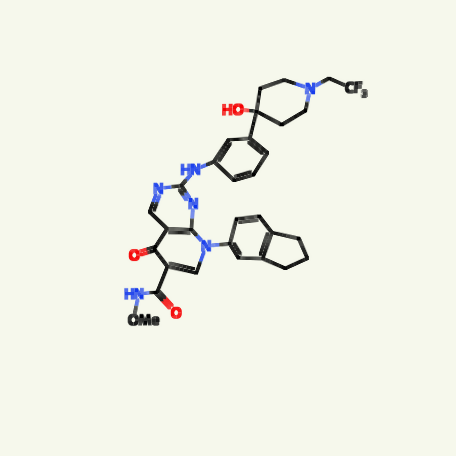 CONC(=O)c1cn(-c2ccc3c(c2)CCC3)c2nc(Nc3cccc(C4(O)CCN(CC(F)(F)F)CC4)c3)ncc2c1=O